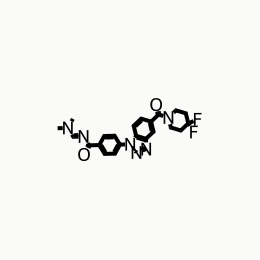 CN(C)C=NC(=O)c1ccc(-n2nnc3cc(C(=O)N4CCC(F)(F)CC4)ccc32)cc1